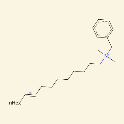 CCCCCC/C=C/CCCCCCCC[N+](C)(C)Cc1ccccc1